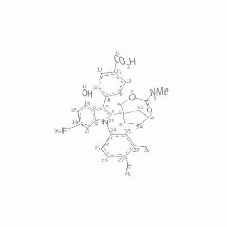 CNC(=O)OCC1(c2c(-c3ccc(C(=O)O)cc3)c3c(O)cc(F)cc3n2-c2ccc(F)c(C)c2)CCCC1